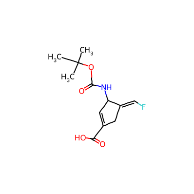 CC(C)(C)OC(=O)NC1C=C(C(=O)O)CC1=CF